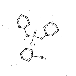 Nc1ccccc1.O=P(O)(Oc1ccccc1)Oc1ccccc1